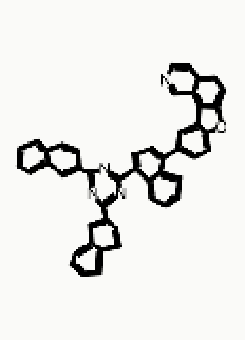 c1ccc2cc(-c3nc(-c4ccc5ccccc5c4)nc(-c4ccc(-c5ccc6oc7ccc8ccncc8c7c6c5)c5ccccc45)n3)ccc2c1